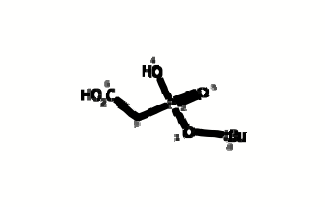 CC(C)(C)OP(=O)(O)CC(=O)O